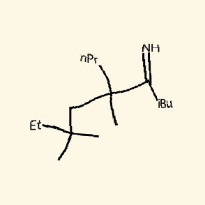 CCCC(C)(CC(C)(C)CC)C(=N)C(C)CC